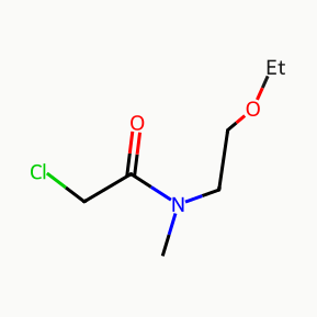 CCOCCN(C)C(=O)CCl